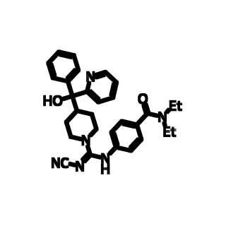 CCN(CC)C(=O)c1ccc(N/C(=N/C#N)N2CCC(C(O)(c3ccccc3)c3ccccn3)CC2)cc1